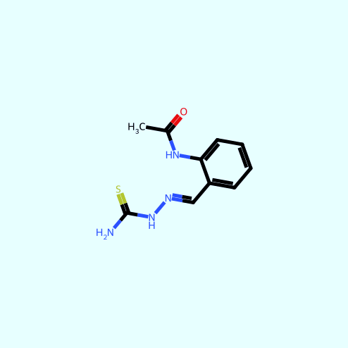 CC(=O)Nc1ccccc1C=NNC(N)=S